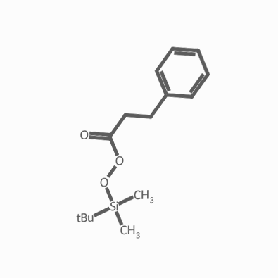 CC(C)(C)[Si](C)(C)OOC(=O)CCc1ccccc1